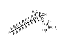 C=C(C)C(=O)OCC[N+](CC)(C(F)(F)C(F)(F)C(F)(F)C(F)(F)C(F)(F)C(F)(F)C(F)(F)C(F)(F)F)S(=O)(=O)O